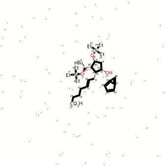 CCCC[C@@H](O[Si](CC)(CC)CC)[C@H]1[C@@H](CC=CCCCC(=O)O)[C@@H](O)C[C@H]1O[Si](CC)(CC)CC.c1cc2cc-2c1